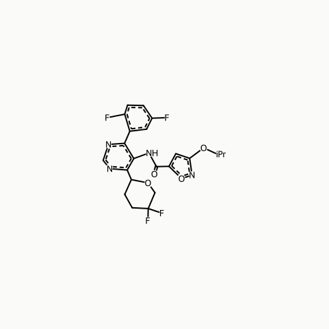 CC(C)Oc1cc(C(=O)Nc2c(-c3cc(F)ccc3F)ncnc2C2CCC(F)(F)CO2)on1